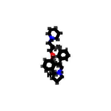 O=[N+]([O-])c1cccc([C@H]2CN3CCC[C@H]3c3cccc(OCCCN4CCCCC4)c32)c1